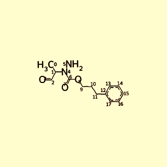 CC(C=O)N(N)C(=O)OCCCc1ccccc1